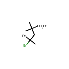 CCOC(=O)C(C)(C)CC(C)(Br)CC